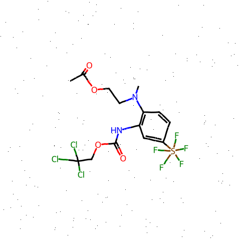 CC(=O)OCCN(C)c1ccc(S(F)(F)(F)(F)F)cc1NC(=O)OCC(Cl)(Cl)Cl